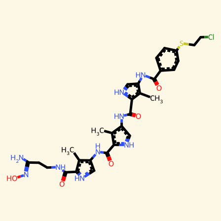 Cc1c(NC(=O)c2ccc(SCCCl)cc2)c[nH]c1C(=O)Nc1c[nH]c(C(=O)Nc2c[nH]c(C(=O)NCCC(N)=NO)c2C)c1C